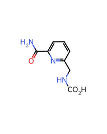 NC(=O)c1cccc(CNC(=O)O)n1